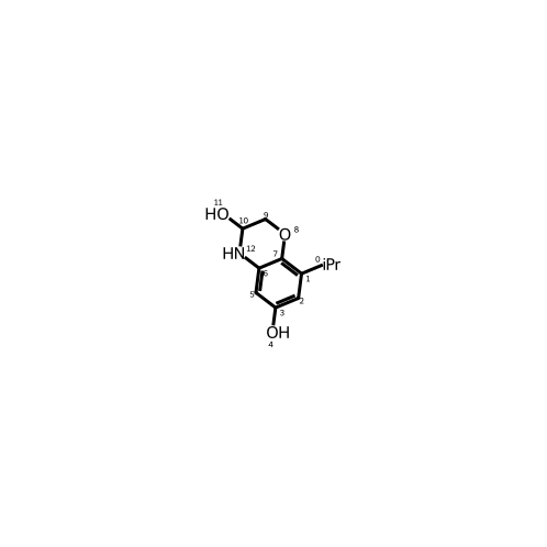 CC(C)c1cc(O)cc2c1OCC(O)N2